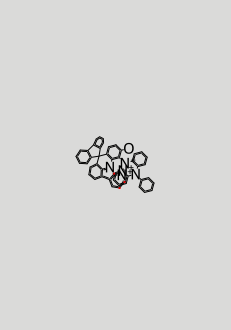 c1ccc(N2c3cccc4c3[N+]3(c5c(ccc6c5-n5c7c(cccc7c7ccc[n+]3c75)C63c5ccccc5-c5ccccc53)O4)[n+]3ccccc32)cc1